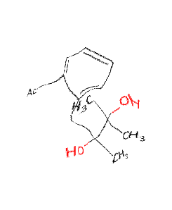 CC(=O)c1ccccc1CC(C)(O)C(C)(C)O